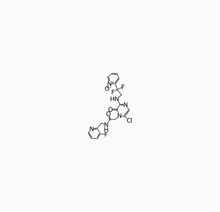 O=C(Cn1c(Cl)cnc(NCC(F)(F)c2cccc[n+]2[O-])c1=O)NCc1ncccc1F